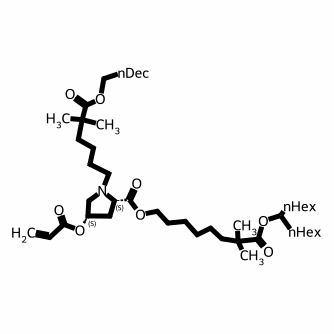 C=CC(=O)O[C@H]1C[C@@H](C(=O)OCCCCCCC(C)(C)C(=O)OC(CCCCCC)CCCCCC)N(CCCCC(C)(C)C(=O)OCCCCCCCCCCC)C1